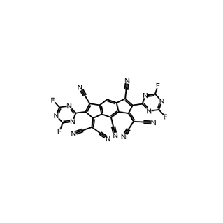 N#CC(C#N)=C1C(c2nc(F)nc(F)n2)=C(C#N)c2cc3c(c(C#N)c21)C(=C(C#N)C#N)C(c1nc(F)nc(F)n1)=C3C#N